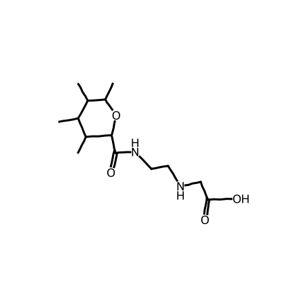 CC1OC(C(=O)NCCNCC(=O)O)C(C)C(C)C1C